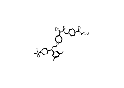 CCN(C(=O)CN1CCN(C(=O)OC(C)(C)C)CC1)C1CCN(CC[C@@H](c2cc(F)cc(F)c2)C2CCN(S(C)(=O)=O)CC2)CC1